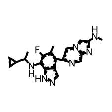 CNc1cn2cc(-c3c(C)c(F)c(NC(C)C4CC4)c4[nH]ncc34)ncc2n1